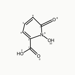 O=C(O)c1cccc(=O)n1O